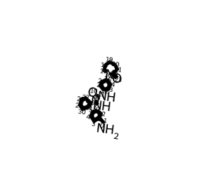 NCc1cccc(NN(C(=O)Nc2ccc(N3CCCCCC3=O)cc2)c2ccccc2)c1